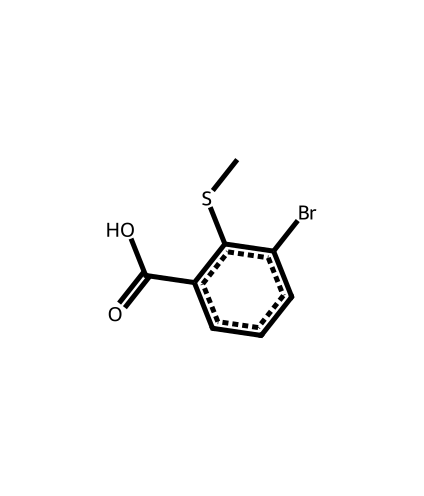 CSc1c(Br)cccc1C(=O)O